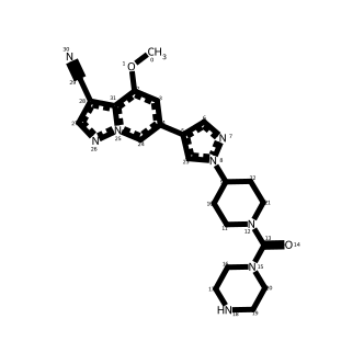 COc1cc(-c2cnn(C3CCN(C(=O)N4CCNCC4)CC3)c2)cn2ncc(C#N)c12